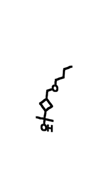 CCCCOCC1CC(C(C)(C)O)C1